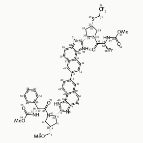 COC[C@H]1C[C@@H](c2nc3ccc4cc(-c5ccc6c(ccc7nc([C@@H]8C[C@H](SCC(F)(F)F)CN8C(=O)[C@@H](NC(=O)OC)C(C)C)[nH]c76)c5)ccc4c3[nH]2)N(C(=O)[C@H](NC(=O)OC)c2ccccc2)C1